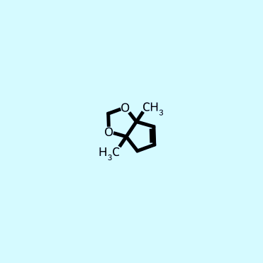 CC12C=CCC1(C)OCO2